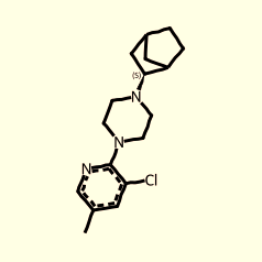 Cc1cnc(N2CCN([C@H]3CC4CCC3C4)CC2)c(Cl)c1